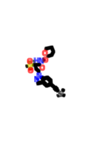 C[C@@](CCn1ncc2cc(C#C[Si](C)(C)C)ccc21)(C(=O)NOC1CCCCO1)S(C)(=O)=O